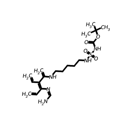 C=CC(/N=C\N)=C(\C=C)C(=C)NCCCCCNS(=O)(=O)NC(=O)OC(C)(C)C